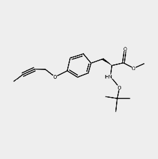 CC#CCOc1ccc(C[C@H](NOC(C)(C)C)C(=O)OC)cc1